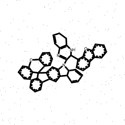 C1=CC2c3cc4c(cc3N(C3=NC5=C(CCC=C5)NC3c3cccc5c3oc3ccccc35)C2C=C1)C1(c2ccccc2Oc2ccccc21)c1ccccc1-4